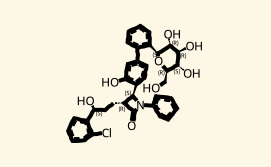 O=C1[C@H](CC[C@H](O)c2ccccc2Cl)[C@@H](c2ccc(-c3ccccc3[C@@H]3O[C@H](CO)[C@@H](O)[C@H](O)[C@H]3O)cc2O)N1c1ccccc1